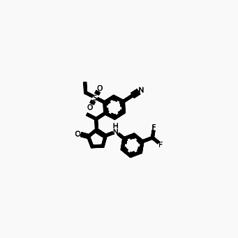 CCS(=O)(=O)c1cc(C#N)ccc1C(C)C1=C(Nc2cccc(C(F)F)c2)CCC1=O